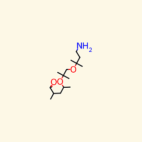 CC(C=O)CC(C)OC(C)(C)COC(C)(C)CCN